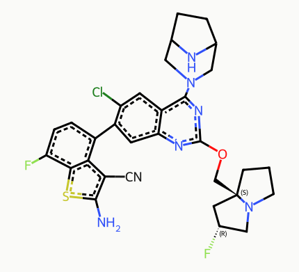 N#Cc1c(N)sc2c(F)ccc(-c3cc4nc(OC[C@@]56CCCN5C[C@H](F)C6)nc(N5CC6CCC(C5)N6)c4cc3Cl)c12